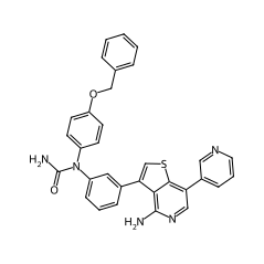 NC(=O)N(c1ccc(OCc2ccccc2)cc1)c1cccc(-c2csc3c(-c4cccnc4)cnc(N)c23)c1